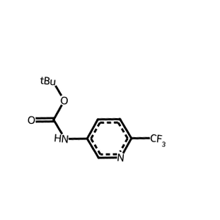 CC(C)(C)OC(=O)Nc1ccc(C(F)(F)F)nc1